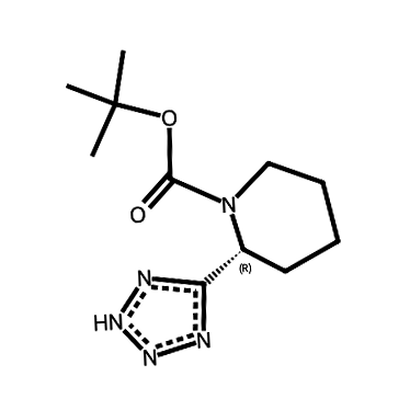 CC(C)(C)OC(=O)N1CCCC[C@@H]1c1nn[nH]n1